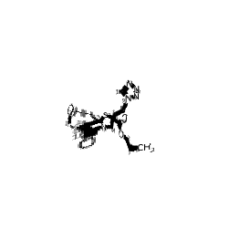 C=CCOC(=O)C1(CCn2cnnn2)CN2C(=O)[C@H](CO)[C@H]2S1